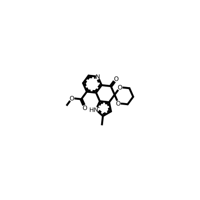 COC(=O)c1ccnc2c1-c1[nH]c(C)cc1C1(OCCCO1)C2=O